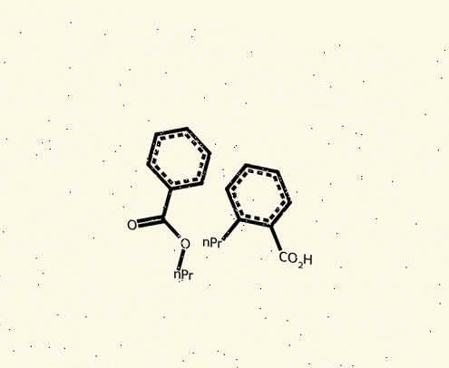 CCCOC(=O)c1ccccc1.CCCc1ccccc1C(=O)O